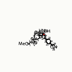 COCCN(C)S(=O)(=O)N1CC[C@](CC(=O)NO)(c2ccc(-c3ccc(-c4cnco4)cc3)s2)S(=O)(=O)CC1